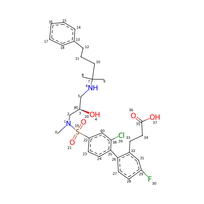 CN(C[C@H](O)CNC(C)(C)CCCc1ccccc1)S(=O)(=O)c1ccc(-c2ccc(F)cc2CCC(=O)O)c(Cl)c1